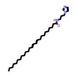 CCCCCCCCCCCCC=CC=CCCCCCCCCC(=O)NCCCn1ccnc1